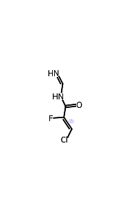 N=CNC(=O)/C(F)=C/Cl